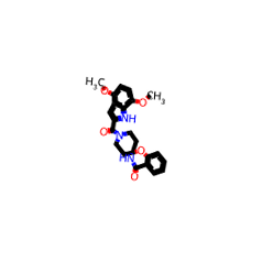 COc1ccc(OC)c2[nH]c(C(=O)N3CCC4(CC3)NC(=O)c3ccccc3O4)cc12